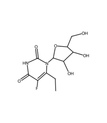 CCc1c(F)c(=O)[nH]c(=O)n1C1OC(CO)C(O)C1O